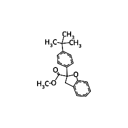 COC(=O)C1(c2ccc(C(C)(C)C)cc2)Cc2ccccc2O1